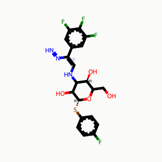 N=N/C(=C\NC1C(O)[C@@H](Sc2ccc(F)cc2)OC(CO)[C@@H]1O)c1cc(F)c(F)c(F)c1